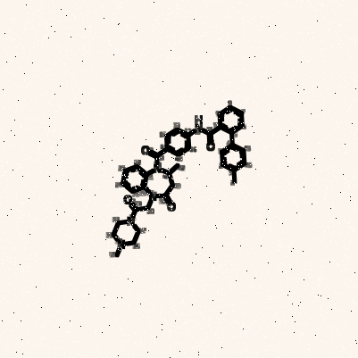 Cc1ccc(-c2ccccc2C(=O)Nc2ccc(C(=O)N3c4ccccc4N(CC(=O)N4CCN(C)CC4)C(=O)CC3C)cc2)cc1